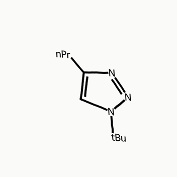 CCCc1cn(C(C)(C)C)nn1